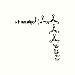 O.O.[Na+].[Na+].[Na+].[Na+].[Na+].[Na+].[Na+].[Na+].[Na+].[Na+].[Na+].[Na+].[O-]B([O-])[O-].[O-]B([O-])[O-].[O-]B([O-])[O-].[O-]B([O-])[O-]